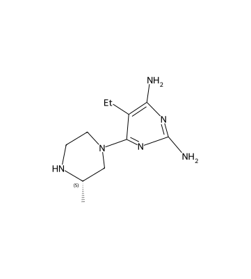 CCc1c(N)nc(N)nc1N1CCN[C@@H](C)C1